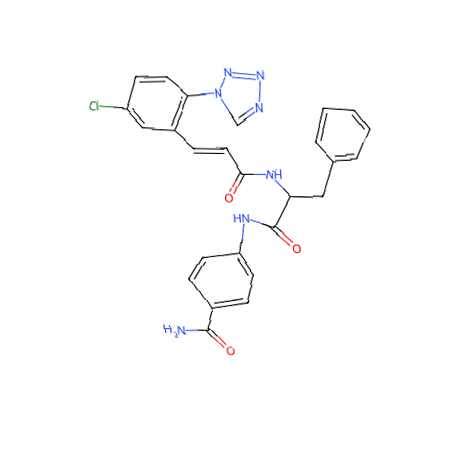 NC(=O)c1ccc(NC(=O)C(Cc2ccccc2)NC(=O)C=Cc2cc(Cl)ccc2-n2cnnn2)cc1